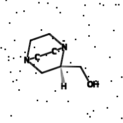 OC[C@H]1CN2CCN1CC2